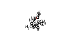 Cc1ccc(NC(=O)Nc2cccc(C(F)(F)F)c2)cc1-n1cc(-c2cnccc2NC(=O)C2C3COC[C@@]32C)cn1